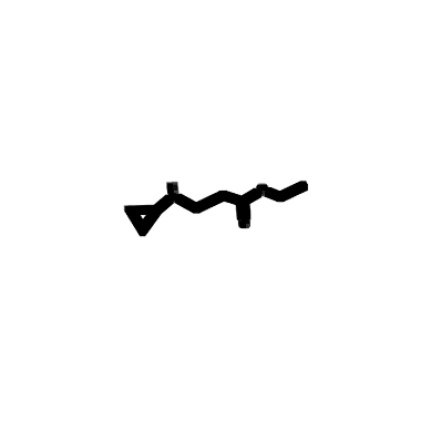 CCOC(=O)CCNC1CC1